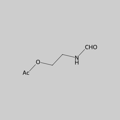 CC(=O)OCCNC=O